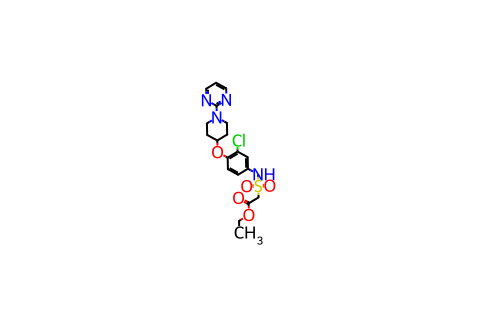 CCOC(=O)CS(=O)(=O)Nc1ccc(OC2CCN(c3ncccn3)CC2)c(Cl)c1